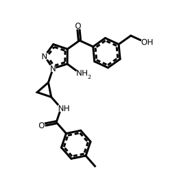 Cc1ccc(C(=O)NC2CC2n2ncc(C(=O)c3cccc(CO)c3)c2N)cc1